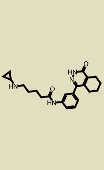 O=C(CCCCNC1CC1)Nc1cccc(-c2n[nH]c(=O)c3c2CCCC3)c1